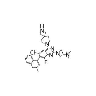 Cc1cc(-c2c(Cl)cc3c(N4CCC5(CC4)CNC5)nc(N4CC(N(C)C)C4)nc3c2F)c2ccccc2c1